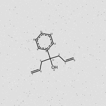 C=CCC(O)(CC=C)c1ccccc1